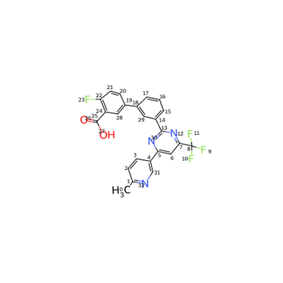 Cc1ccc(-c2cc(C(F)(F)F)nc(-c3cccc(-c4ccc(F)c(C(=O)O)c4)c3)n2)cn1